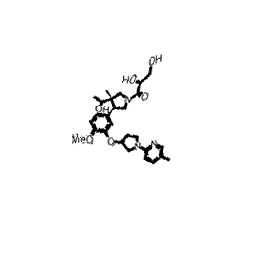 COc1ccc([C@@H]2CN(C(=O)C(O)CO)C[C@@]2(C)C(C)O)cc1OC1CCN(c2ccc(C)cn2)C1